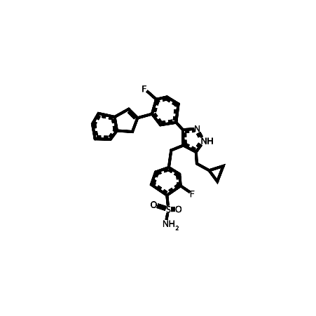 NS(=O)(=O)c1ccc(Cc2c(-c3ccc(F)c(C4=Cc5ccccc5C4)c3)n[nH]c2CC2CC2)cc1F